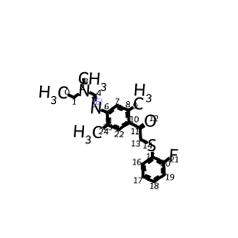 CCN(C)/C=N/c1cc(C)c(C(=O)CSc2ccccc2F)cc1C